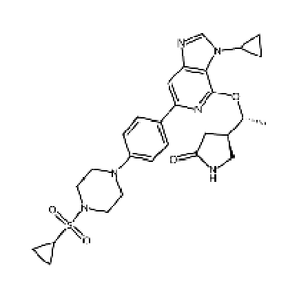 C[C@@H](Oc1nc(-c2ccc(N3CCN(S(=O)(=O)C4CC4)CC3)cc2)cc2ncn(C3CC3)c12)[C@H]1CNC(=O)C1